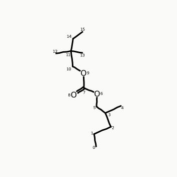 CCCC(C)COC(=O)OCC(C)(C)CC